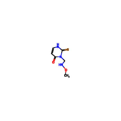 CONCn1c(=O)cc[nH]c1=S